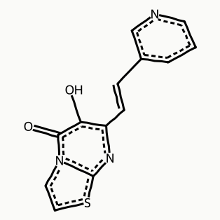 O=c1c(O)c(/C=C/c2cccnc2)nc2sccn12